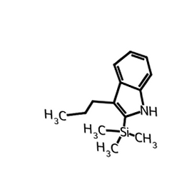 CCCc1c([Si](C)(C)C)[nH]c2ccccc12